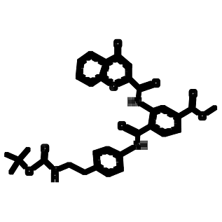 COC(=O)c1ccc(C(=O)Nc2ccc(CCNC(=O)OC(C)(C)C)cc2)c(NC(=O)c2cc(=O)c3ccccc3o2)c1